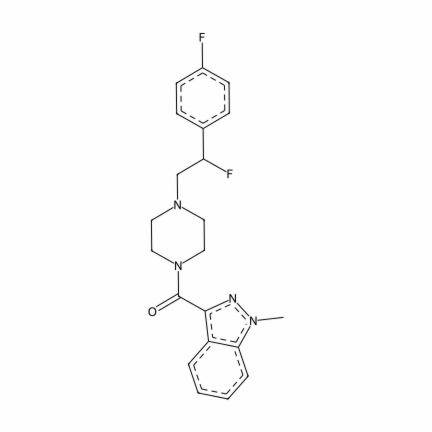 Cn1nc(C(=O)N2CCN(CC(F)c3ccc(F)cc3)CC2)c2ccccc21